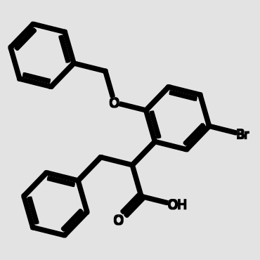 O=C(O)C(Cc1ccccc1)c1cc(Br)ccc1OCc1ccccc1